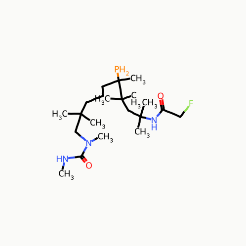 CNC(=O)N(C)CC(C)(C)CCCC(C)(P)C(C)(C)CC(C)(C)NC(=O)CF